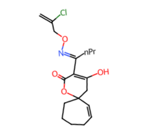 C=C(Cl)CON=C(CCC)C1=C(O)CC2(C=CCCCC2)OC1=O